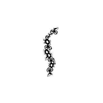 C=CC(=O)OCCCOc1ccc(C(=O)Oc2ccc3c(C)c(OC(=O)c4ccc(OC(=O)C(=C)C)cc4F)ccc3c2)cc1